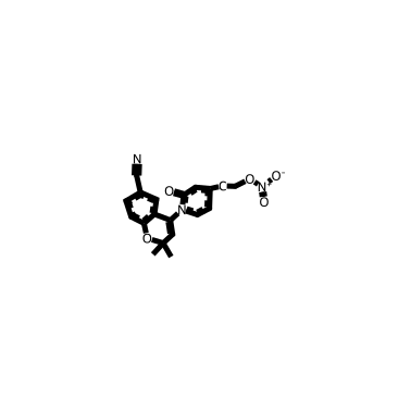 CC1(C)C=C(n2ccc(CCO[N+](=O)[O-])cc2=O)c2cc(C#N)ccc2O1